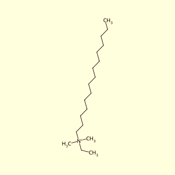 CCCCCCCCCCCCCCC[N+](C)(C)CC